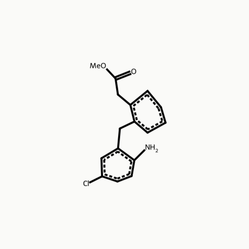 COC(=O)Cc1ccccc1Cc1cc(Cl)ccc1N